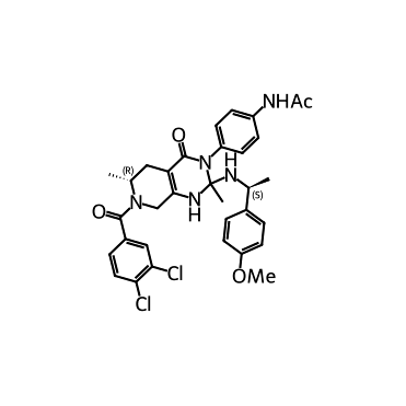 COc1ccc([C@H](C)NC2(C)NC3=C(C[C@@H](C)N(C(=O)c4ccc(Cl)c(Cl)c4)C3)C(=O)N2c2ccc(NC(C)=O)cc2)cc1